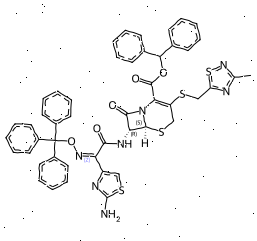 Cc1nsc(CSC2=C(C(=O)OC(c3ccccc3)c3ccccc3)N3C(=O)[C@@H](NC(=O)/C(=N\OC(c4ccccc4)(c4ccccc4)c4ccccc4)c4csc(N)n4)[C@@H]3SC2)n1